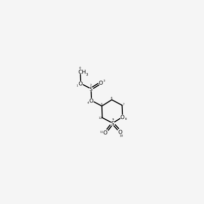 COS(=O)OC1CCOS(=O)(=O)C1